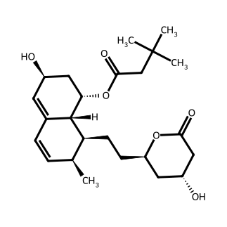 C[C@H]1C=CC2=C[C@@H](O)C[C@H](OC(=O)CC(C)(C)C)[C@@H]2[C@H]1CC[C@@H]1C[C@@H](O)CC(=O)O1